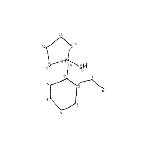 CCC1CCCCC1[PH]1(S)SCCS1